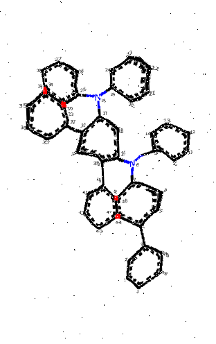 c1ccc(-c2ccc(N(c3ccccc3)c3cc(N(c4ccccc4)c4ccccc4)c(-c4ccccc4)cc3-c3ccccc3)cc2)cc1